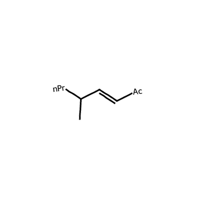 CCCC(C)C=CC(C)=O